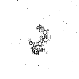 CCN(C(=O)Nc1cccc(OC(F)(F)F)c1)c1ccc(-c2c(COC)cn3ncnc(N)c23)cc1